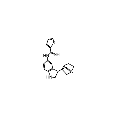 N=C(Nc1ccc2c(c1)C(C1=CN3CCC1CC3)CN2)c1cccs1